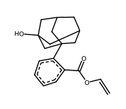 C=COC(=O)c1ccccc1C12CC3CC(CC(O)(C3)C1)C2